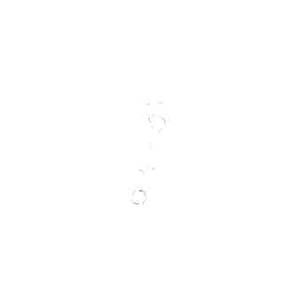 C[C@@H]1C[C@H](COc2ccc(S(C)(=O)=O)cc2)CN1[C@@H]1CCc2ccc(Cl)cc2C1